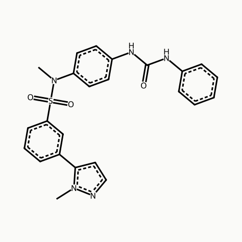 CN(c1ccc(NC(=O)Nc2ccccc2)cc1)S(=O)(=O)c1cccc(-c2ccnn2C)c1